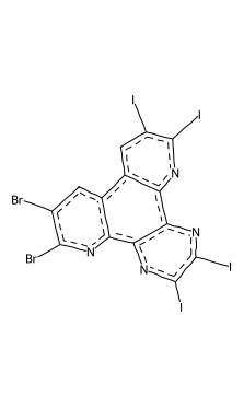 Brc1cc2c3cc(I)c(I)nc3c3nc(I)c(I)nc3c2nc1Br